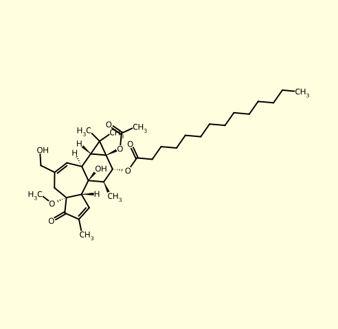 CCCCCCCCCCCCCC(=O)O[C@@H]1[C@@H](C)[C@@]2(O)[C@@H](C=C(CO)C[C@]3(OC)C(=O)C(C)=C[C@@H]23)[C@@H]2C(C)(C)[C@]12OC(C)=O